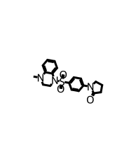 CN1CCN(S(=O)(=O)c2ccc(N3CCCC3=O)cc2)c2ccccc21